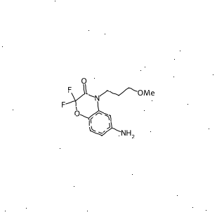 COCCCN1C(=O)C(F)(F)Oc2ccc(N)cc21